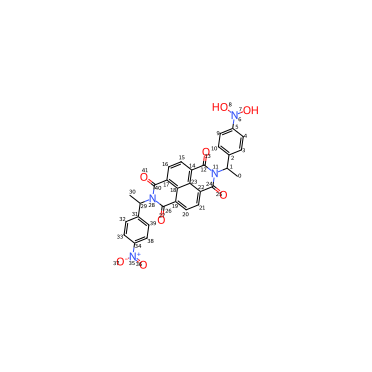 CC(c1ccc(N(O)O)cc1)N1C(=O)c2ccc3c4c(ccc(c24)C1=O)C(=O)N(C(C)c1ccc([N+](=O)[O-])cc1)C3=O